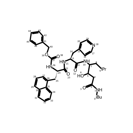 CCC(C)NC(=O)CC(O)C(CC(C)C)NC(=O)[C@H](Cc1ccncc1)NC(=O)[C@H](Cc1cccc2ccccc12)NC(=O)OCc1ccccc1